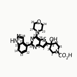 O=C(O)N1CCC(O)(c2cc3nc(-c4cccc5[nH]ncc45)nc(N4CCOCC4)c3s2)CC1